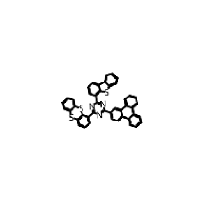 c1ccc2c(c1)Sc1cccc(-c3nc(-c4ccc5c6ccccc6c6ccccc6c5c4)nc(-c4cccc5c4sc4ccccc45)n3)c1S2